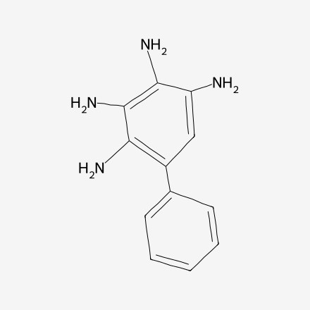 Nc1cc(-c2ccccc2)c(N)c(N)c1N